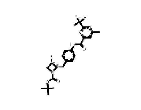 Cc1cc(C(=O)Nc2ccc(C[C@@H]3[C@H](F)CN3C(=O)OC(C)(C)C)cc2)nc(C(F)(F)F)n1